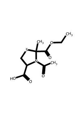 CCOC(=O)C1(C)SCC(C(=O)O)N1C(C)=O